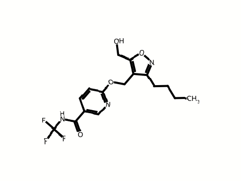 CCCCc1noc(CO)c1COc1ccc(C(=O)NC(F)(F)F)cn1